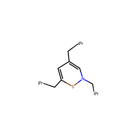 CC(C)CC1=CN(CC(C)C)SC(CC(C)C)=C1